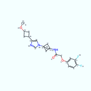 O=C(COc1ccc(F)c(F)c1)NC12CC(n3cnc(C4CC(OC(F)(F)F)C4)c3)(C1)C2